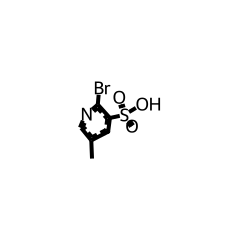 Cc1cnc(Br)c(S(=O)(=O)O)c1